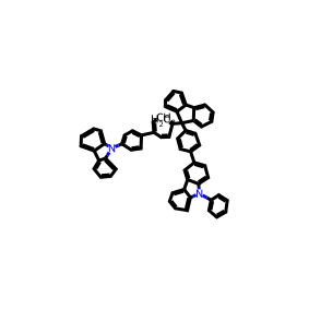 C=C(/C=C\C(=C/C)c1ccc(-n2c3ccccc3c3ccccc32)cc1)C1(c2ccc(-c3ccc4c(c3)c3ccccc3n4-c3ccccc3)cc2)c2ccccc2-c2ccccc21